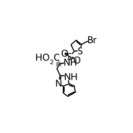 O=C(O)[C@@H](Cc1nc2ccccc2[nH]1)NS(=O)(=O)C1CC=C(Br)S1